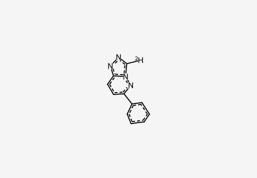 [2H]c1nnc2ccc(-c3ccccc3)nn12